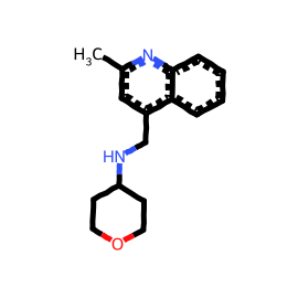 Cc1cc(CNC2CCOCC2)c2ccccc2n1